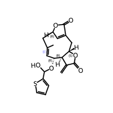 C=C1C(=O)O[C@H]2CC3=C[C@@H](C/C(C)=C/[C@@H](OC(O)c4cccs4)[C@H]12)OC3=O